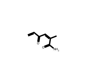 C=CC(=O)C=C(C)C(N)=O